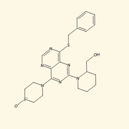 [O-][S+]1CCN(c2nc(N3CCCCC3CO)nc3c(SCc4ccccc4)ncnc23)CC1